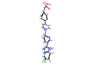 O=C(O)Cc1ccc(N2CCN(c3ccc(-c4nc5cc(Cl)ccc5[nH]4)cn3)CC2)cc1